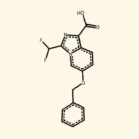 O=C(O)c1nc(C(F)F)n2cc(OCc3ccccc3)ccc12